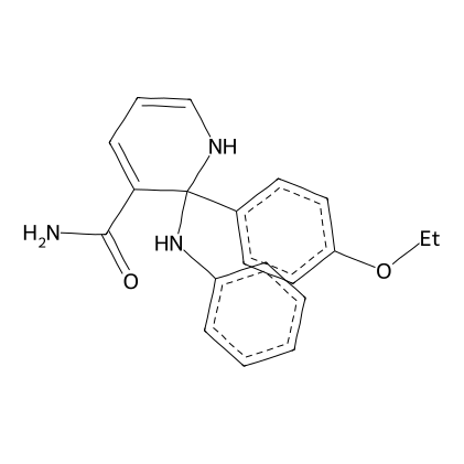 CCOc1ccc(C2(Nc3ccccc3)NC=CC=C2C(N)=O)cc1